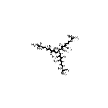 N=C(N)NCCC[C@H](N)C(=O)C(N)CN(CC(N)C(=O)[C@@H](N)CCCNC(=N)N)CC(N)C(=O)[C@@H](N)CCCNC(=N)N